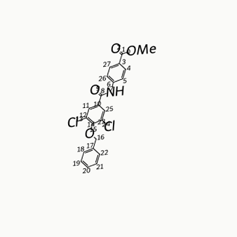 COC(=O)c1ccc(NC(=O)c2cc(Cl)c(OCc3ccccc3)c(Cl)c2)cc1